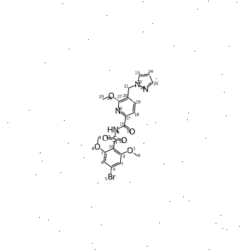 COc1cc(Br)cc(OC)c1S(=O)(=O)NC(=O)c1ccc(Cn2cccn2)c(OC)n1